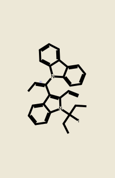 C=Cc1c(/C(=C\C)n2c3ccccc3c3ccccc32)c2ccccc2n1C(I)(CC)CC